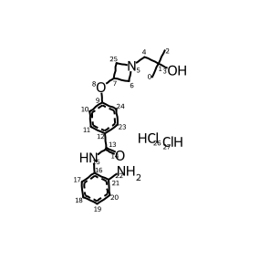 CC(C)(O)CN1CC(Oc2ccc(C(=O)Nc3ccccc3N)cc2)C1.Cl.Cl